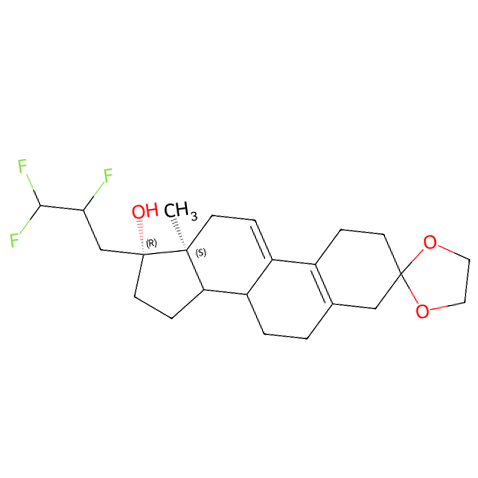 C[C@]12CC=C3C4=C(CCC3C1CC[C@@]2(O)CC(F)C(F)F)CC1(CC4)OCCO1